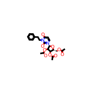 CC(=O)OC[C@H]1O[C@@H](n2ccc(=O)n(CCc3ccccc3)c2=O)C(OC(C)=O)C1OC(C)=O